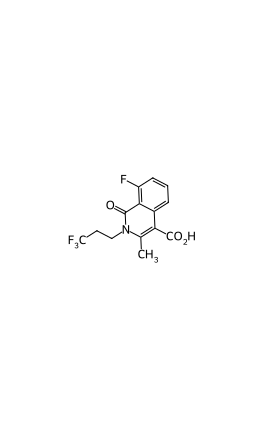 Cc1c(C(=O)O)c2cccc(F)c2c(=O)n1CCC(F)(F)F